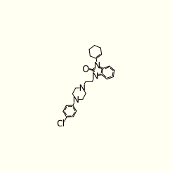 O=c1n(CCN2CCN(c3ccc(Cl)cc3)CC2)c2ccccc2n1C1=CCCCC1